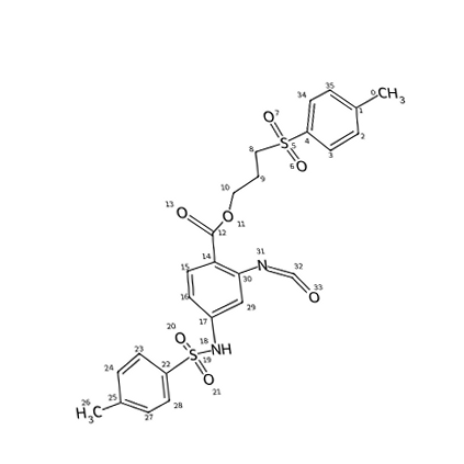 Cc1ccc(S(=O)(=O)CCCOC(=O)c2ccc(NS(=O)(=O)c3ccc(C)cc3)cc2N=C=O)cc1